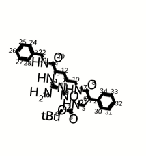 CC(C)(C)OC(=O)NC[C@@H](C(=O)NCCCC(NC(N)=N[N+](=O)[O-])C(=O)NCc1ccccc1)c1ccccc1